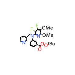 COc1nc(N(Cc2cccnc2)c2cccc(C(=O)OOC(C)(C)C)c2)c(F)c(F)c1OC